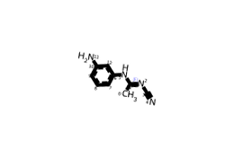 C/C(=N\C#N)Nc1cccc(N)c1